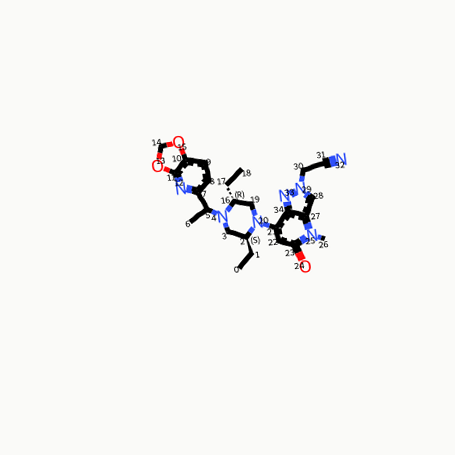 CC[C@H]1CN(C(C)c2ccc3c(n2)OCO3)[C@H](CC)CN1c1cc(=O)n(C)c2cn(CC#N)nc12